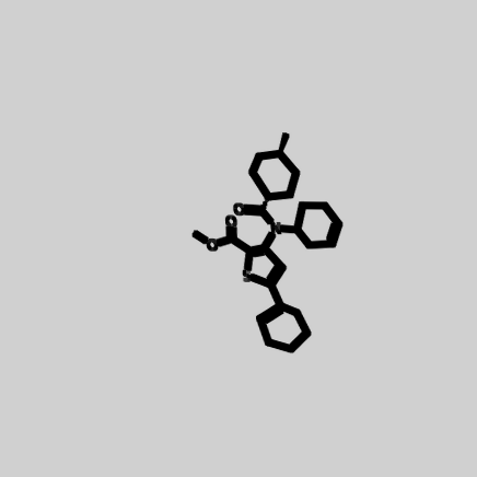 COC(=O)c1sc(C2=CCCCC2)cc1N(C(=O)[C@H]1CC[C@H](C)CC1)C1CC=CCC1